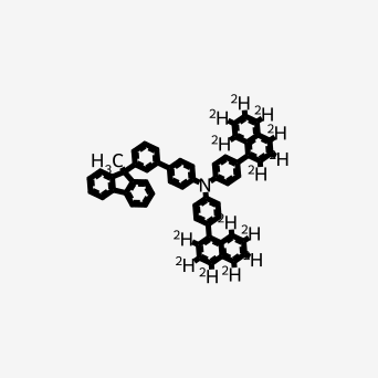 [2H]c1c([2H])c([2H])c2c(-c3ccc(N(c4ccc(-c5cccc(C6(C)c7ccccc7-c7ccccc76)c5)cc4)c4ccc(-c5c([2H])c([2H])c([2H])c6c([2H])c([2H])c([2H])c([2H])c56)cc4)cc3)c([2H])c([2H])c([2H])c2c1[2H]